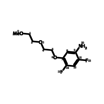 COCCOCCOc1cc(N)c(F)cc1F